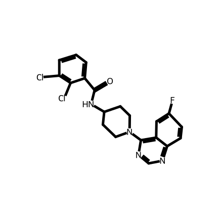 O=C(NC1CCN(c2ncnc3ccc(F)cc23)CC1)c1cccc(Cl)c1Cl